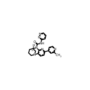 Cc1cc(-c2ccc3c(n2)N(C(=O)Nc2cccnn2)[C@H]2CCCN3C2)ccn1